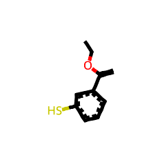 C=C(OCC)c1cccc(S)c1